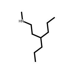 CCCC(CCC)CCNC